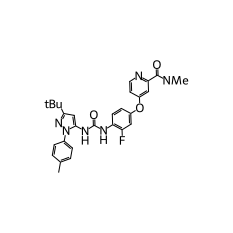 CNC(=O)c1cc(Oc2ccc(NC(=O)Nc3cc(C(C)(C)C)nn3-c3ccc(C)cc3)c(F)c2)ccn1